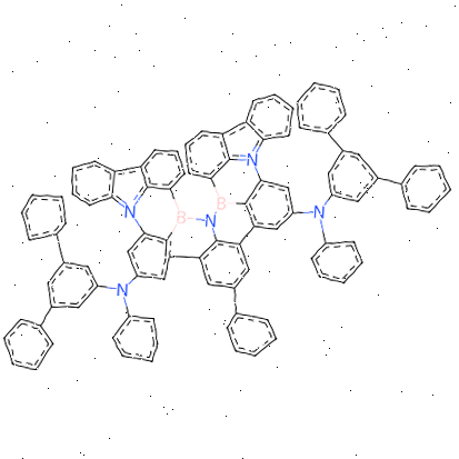 c1ccc(-c2cc(-c3ccccc3)cc(N(c3ccccc3)c3cc4c5c(c3)-n3c6ccccc6c6cccc(c63)B5N3B5c6c(cc(N(c7ccccc7)c7cc(-c8ccccc8)cc(-c8ccccc8)c7)cc6-n6c7ccccc7c7cccc5c76)-c5cc(-c6ccccc6)cc-4c53)c2)cc1